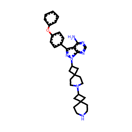 Nc1ncnc2c1c(-c1ccc(Oc3ccccc3)cc1)nn2C1CC2(CCN(C3CC4(CCNCC4)C3)CC2)C1